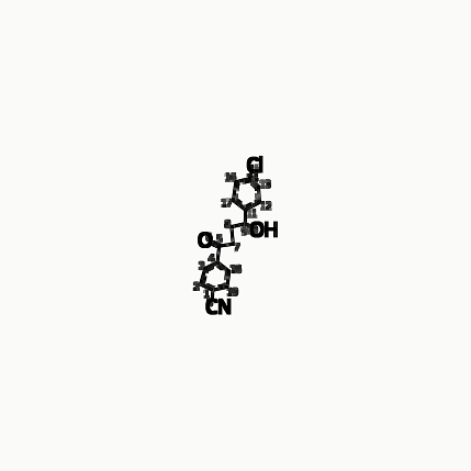 N#Cc1ccc(C(=O)CCC(O)c2ccc(Cl)cc2)cc1